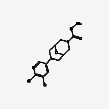 CC(C)(C)OC(=O)N1CC2CN(c3cnc(Cl)c(Br)c3)CC(C1)O2